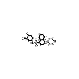 Cc1ccc(NS(=O)(=O)c2ccc(N3CCNCC3)c3ccccc23)cc1Cl